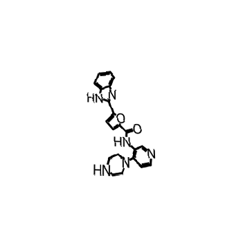 O=C(Nc1cnccc1N1CCNCC1)c1ccc(-c2nc3ccccc3[nH]2)o1